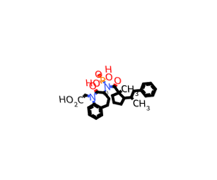 CC(Cc1ccccc1)C1CCCC1(C)C(=O)N([C@H]1CCc2ccccc2N(CC(=O)O)C1=O)P(=O)(O)O